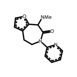 CNC1C(=O)N(c2ccccn2)CCc2ccoc21